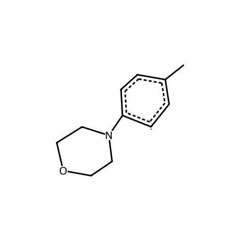 Cc1c[c]c(N2CCOCC2)cc1